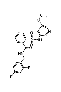 COc1cncc(NS(=O)(=O)c2ccccc2C(=O)NCc2ccc(F)cc2F)c1